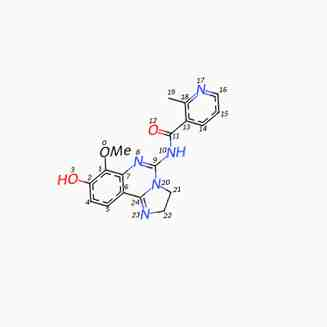 COc1c(O)ccc2c1N=C(NC(=O)c1cccnc1C)N1CCN=C21